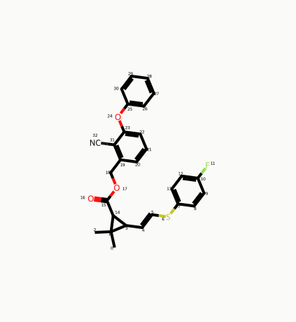 CC1(C)C(/C=C/Sc2ccc(F)cc2)C1C(=O)OCc1cccc(Oc2ccccc2)c1C#N